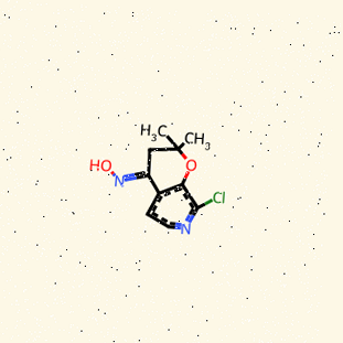 CC1(C)C/C(=N\O)c2ccnc(Cl)c2O1